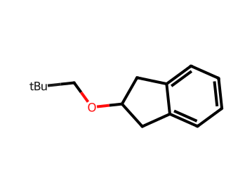 CC(C)(C)COC1Cc2ccccc2C1